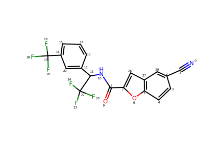 N#Cc1ccc2oc(C(=O)NC(c3cccc(C(F)(F)F)c3)C(F)(F)F)cc2c1